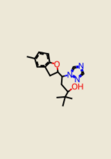 Cc1ccc2c(c1)CC(C(CC(O)C(C)(C)C)n1cncn1)O2